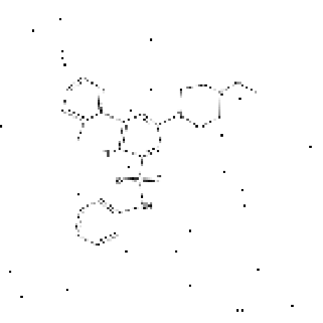 CCN1CCN(c2cc(-c3ccccc3C)c(Cl)c(S(=O)(=O)Nc3ccccc3)c2)CC1